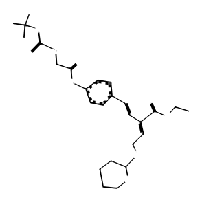 CCOC(=O)C(/C=C/c1ccc(NC(=O)CNC(=O)OC(C)(C)C)cc1)=C/COC1CCCCO1